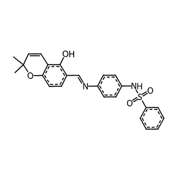 CC1(C)C=Cc2c(ccc(C=Nc3ccc(NS(=O)(=O)c4ccccc4)cc3)c2O)O1